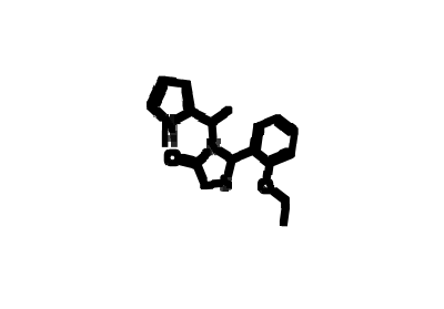 CCOc1ccccc1C1SCC(=O)N1C(C)c1ccc[nH]1